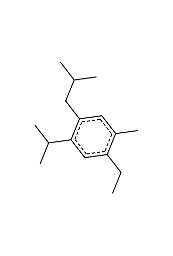 CCc1cc(C(C)C)c(CC(C)C)cc1C